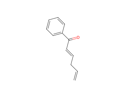 C=CC/C=C/C(=O)c1ccccc1